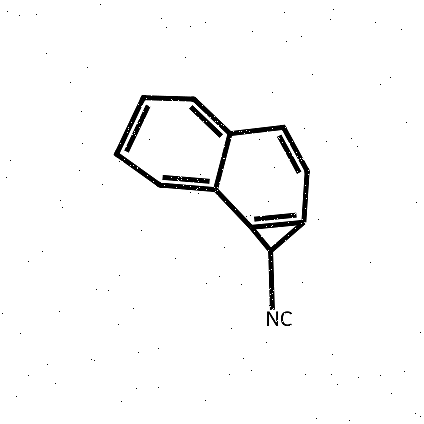 [C-]#[N+]C1c2ccc3ccccc3c21